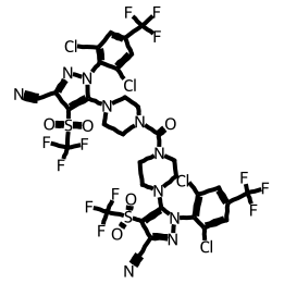 N#Cc1nn(-c2c(Cl)cc(C(F)(F)F)cc2Cl)c(N2CCN(C(=O)N3CCN(c4c(S(=O)(=O)C(F)(F)F)c(C#N)nn4-c4c(Cl)cc(C(F)(F)F)cc4Cl)CC3)CC2)c1S(=O)(=O)C(F)(F)F